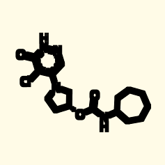 O=C(NC1CCCCCC1)O[C@@H]1CCN(c2cn[nH]c(=O)c2Cl)C1